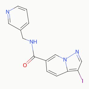 O=C(NCc1cccnc1)c1ccc2c(I)cnn2c1